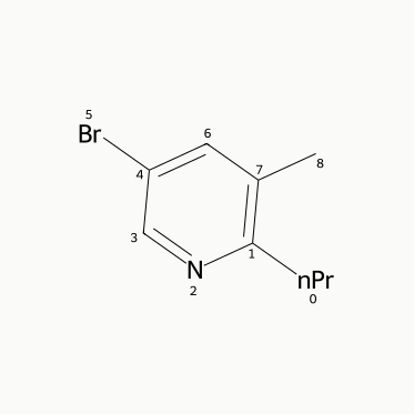 [CH2]CCc1ncc(Br)cc1C